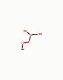 CC(=O)OOB(O)O